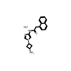 Cl.N[C@H]1C[C@@H](n2cnc(NC(=O)Cc3cccc4ccccc34)c2)C1